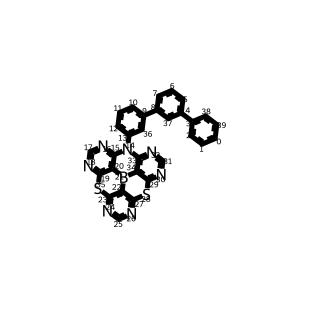 c1ccc(-c2cccc(-c3cccc(N4c5ncnc6c5B5c7c(ncnc7Sc7ncnc4c75)S6)c3)c2)cc1